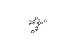 O=C1C(=O)N(CCN2CCN(Cc3ccccc3)CC2)c2ccc(C3CCCCC3)cc21.O=C1Nc2ccc(C3CCCCC3)cc2C1=O